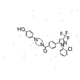 O=C(c1ccc(-c2cc(C(F)(F)F)nn2-c2ccccc2Cl)cc1)N1CCN(c2ccc(O)cc2)CC1